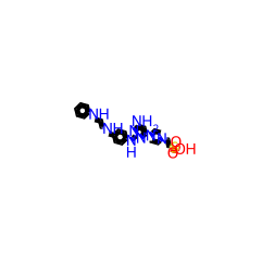 Nc1cc(N2CCN(CCS(=O)(=O)O)CC2)nc(NC2CCC(CNCCCNC3CCCCC3)CC2)n1